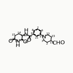 O=CC1CCN(c2cccc(C(=O)NC3CCC(=O)NC3=O)c2)CC1